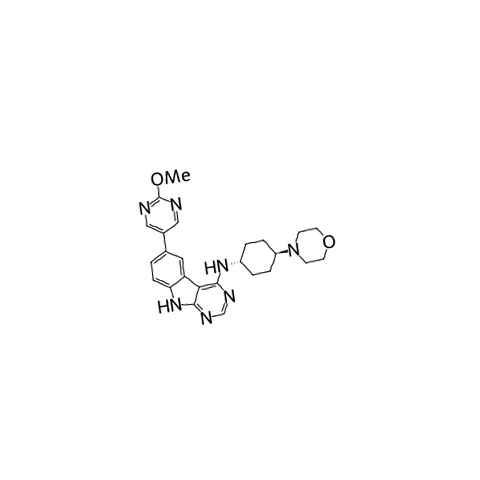 COc1ncc(-c2ccc3[nH]c4ncnc(N[C@H]5CC[C@H](N6CCOCC6)CC5)c4c3c2)cn1